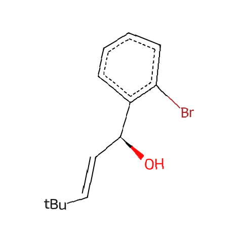 CC(C)(C)C=C[C@H](O)c1ccccc1Br